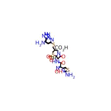 Nc1nc(C(=NO)C(=O)NC2C(=O)N3CC(CSc4cc(N)c5nnnn5n4)(C(=O)O)CS(=S(=O)=O)[C@H]23)cs1